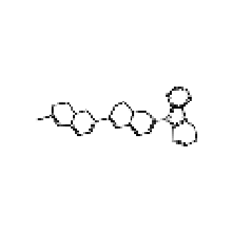 CC1=CC2=CC=C(C3=CC4=CC=C(n5c6c(c7ccccc75)CCC=C6)CC4CC3)CC2CC1